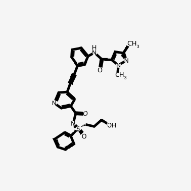 Cc1cc(C(=O)Nc2cccc(C#Cc3cncc(C(=O)N=[S@](=O)(CCCO)c4ccccc4)c3)c2)n(C)n1